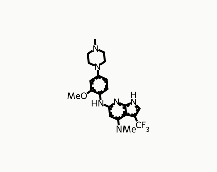 CNc1cc(Nc2ccc(N3CCN(C)CC3)cc2OC)nc2[nH]cc(C(F)(F)F)c12